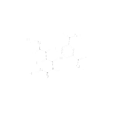 C=NC(=O)C(=C)C(=C)C(=C)C(=C)C(=O)N=C.NC(=O)c1cccc(C(N)=O)c1